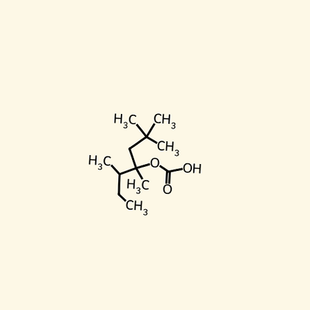 CCC(C)C(C)(CC(C)(C)C)OC(=O)O